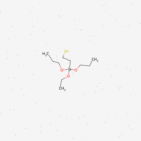 CCCO[Si](CCS)(OCC)OCCC